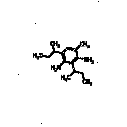 CCC(C)c1cc(C)c(N)c(C(C)CC)c1N